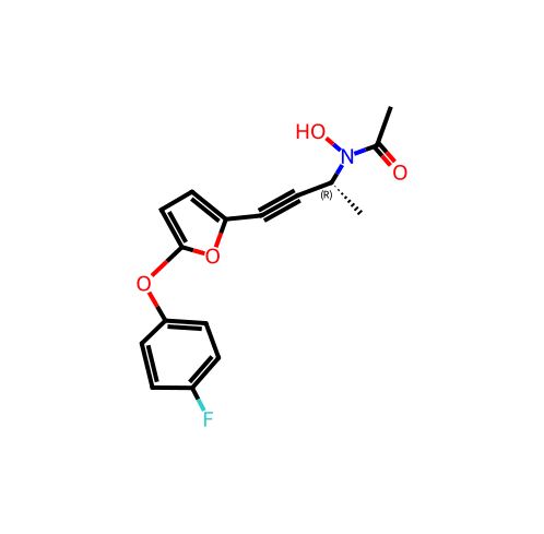 CC(=O)N(O)[C@H](C)C#Cc1ccc(Oc2ccc(F)cc2)o1